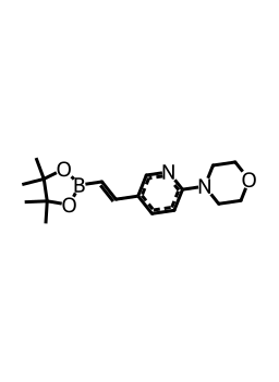 CC1(C)OB(/C=C/c2ccc(N3CCOCC3)nc2)OC1(C)C